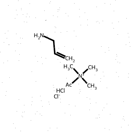 C=CCN.CC(=O)[N+](C)(C)C.Cl.[Cl-]